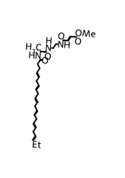 CCC=CCC=CCC=CCC=CCC=CCC=CCCC(=O)NC(C)C(=O)NCCNC(=O)C=CC(=O)OC